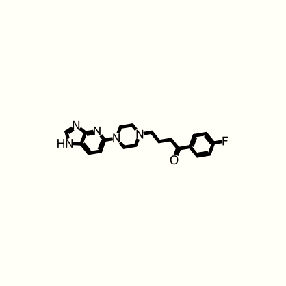 O=C(CCCN1CCN(c2ccc3[nH]cnc3n2)CC1)c1ccc(F)cc1